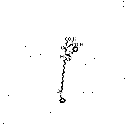 O=C(O)CCN(CCC(=O)O)C(=O)CC[C@@H](NC(=O)CCCCCCCCCCCCCCC(=O)OCc1ccccc1)C(=O)OCc1ccccc1